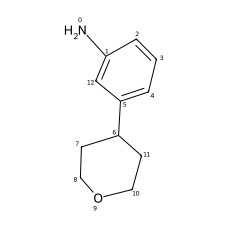 Nc1cccc(C2CCOCC2)c1